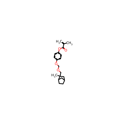 C=C(C)C(=O)Oc1ccc(OCOCC2(C)CC3CCC2C3)cc1